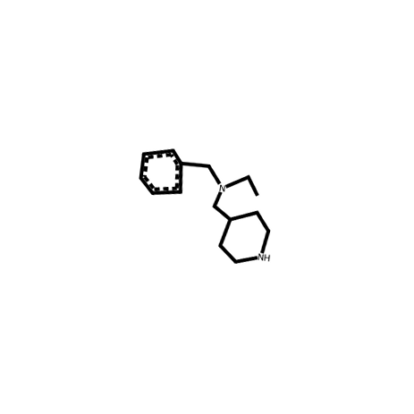 CCN(Cc1ccccc1)CC1CCNCC1